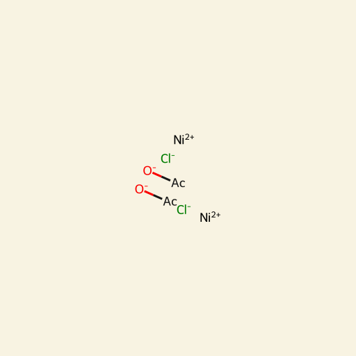 CC(=O)[O-].CC(=O)[O-].[Cl-].[Cl-].[Ni+2].[Ni+2]